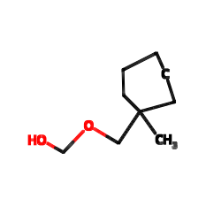 CC1(COCO)CCCCC1